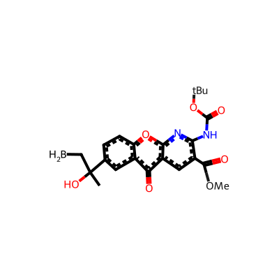 BCC(C)(O)c1ccc2oc3nc(NC(=O)OC(C)(C)C)c(C(=O)OC)cc3c(=O)c2c1